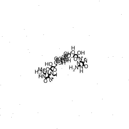 C=Nc1c(N(C)[C@@H]2O[C@H](COP(=O)(O)OP(O)(=S)OP(=O)(O)OC[C@H]3O[C@@H](N(CI)c4nc(N)[nH]c(=O)c4N(C)C)C(OC)C3O)C(O)C2O)nc(N)[nH]c1=O